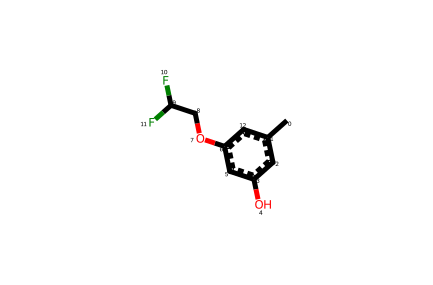 Cc1cc(O)cc(OCC(F)F)c1